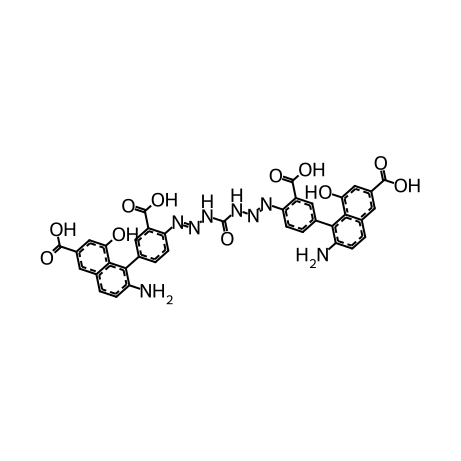 Nc1ccc2cc(C(=O)O)cc(O)c2c1-c1ccc(/N=N/NC(=O)N/N=N/c2ccc(-c3c(N)ccc4cc(C(=O)O)cc(O)c34)cc2C(=O)O)c(C(=O)O)c1